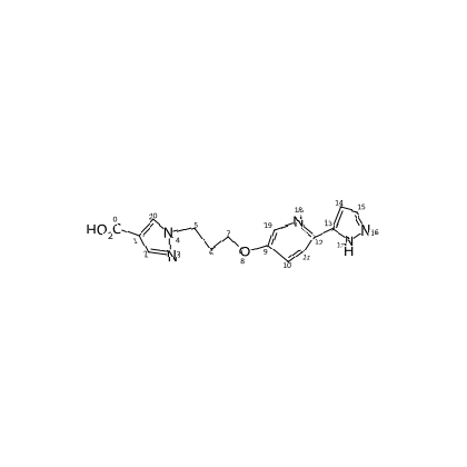 O=C(O)c1cnn(CCCOc2ccc(-c3ccn[nH]3)nc2)c1